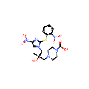 C[C@](O)(CN1CCN(C(=O)O)CC1)Cn1cc([N+](=O)[O-])nc1Sc1ccccc1[N+](=O)[O-]